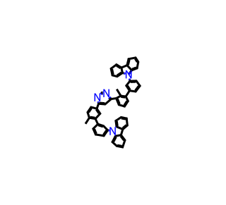 Cc1ccc(-c2cc(-c3cccc(-c4cccc(-n5c6ccccc6c6ccccc65)c4)c3C)ncn2)cc1-c1cccc(-n2c3ccccc3c3ccccc32)c1